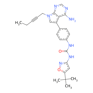 CCC#CCn1cc(-c2ccc(NC(=O)Nc3cc(C(C)(C)C)on3)cc2)c2c(N)ncnc21